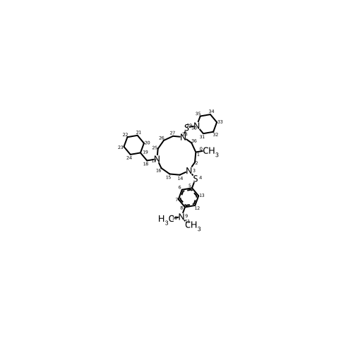 CC1CN(Sc2ccc(N(C)C)cc2)CCCN(CC2CCCCC2)CCCN(SN2CCCCC2)C1